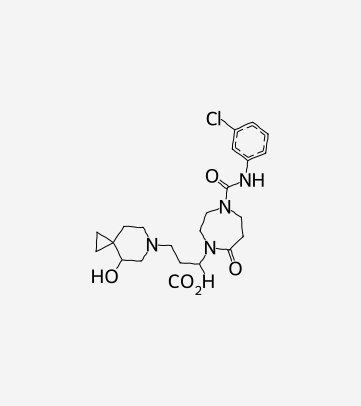 O=C(O)C(CCN1CCC2(CC2)C(O)C1)N1CCN(C(=O)Nc2cccc(Cl)c2)CCC1=O